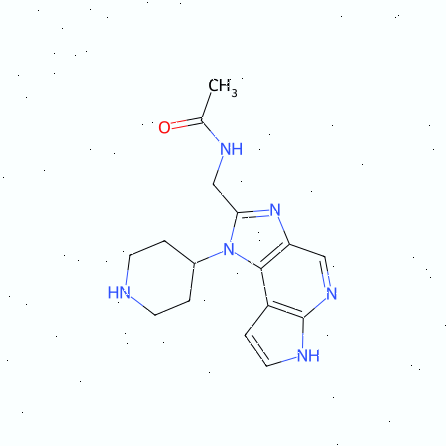 CC(=O)NCc1nc2cnc3[nH]ccc3c2n1C1CCNCC1